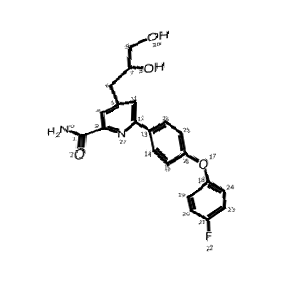 NC(=O)c1cc(CC(O)CO)cc(-c2ccc(Oc3ccc(F)cc3)cc2)n1